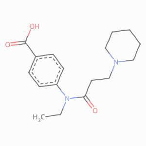 CCN(C(=O)CCN1CCCCC1)c1ccc(C(=O)O)cc1